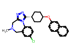 CN1Cc2cc(Cl)ccc2-n2c(nnc2[C@H]2CC[C@H](Oc3ccc4ccccc4c3)CC2)C1